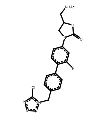 CC(=O)NCC1CN(c2ccc(-c3ccc(Cn4nnnc4Cl)cc3)c(F)c2)C(=O)O1